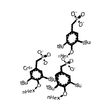 CCCCCCOc1c(C(C)(C)C)cc(CP(=O)([O-])[O-])cc1C(C)(C)C.CCCCCCOc1c(C(C)(C)C)cc(CP(=O)([O-])[O-])cc1C(C)(C)C.CCCCCCOc1c(C(C)(C)C)cc(CP(=O)([O-])[O-])cc1C(C)(C)C.[Cr+6]